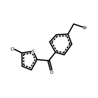 O=C(c1ccc(CBr)cc1)c1ccc(Cl)s1